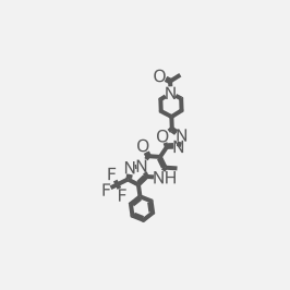 CC(=O)N1CCC(c2nnc(-c3c(C)[nH]c4c(-c5ccccc5)c(C(F)(F)F)nn4c3=O)o2)CC1